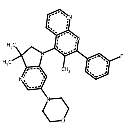 Cc1c(-c2cccc(F)c2)nc2ncccc2c1N1CC(C)(C)c2ncc(N3CCOCC3)cc21